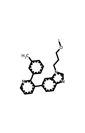 Cc1cccc(-c2ncccc2-c2ccc3ncn(CCCOI)c3c2)c1